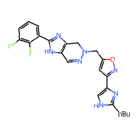 CCCCc1nc(-c2cc(CN3Cc4nc(-c5cccc(F)c5F)[nH]c4C=N3)on2)c[nH]1